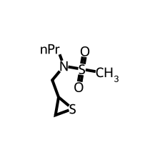 CCCN(CC1CS1)S(C)(=O)=O